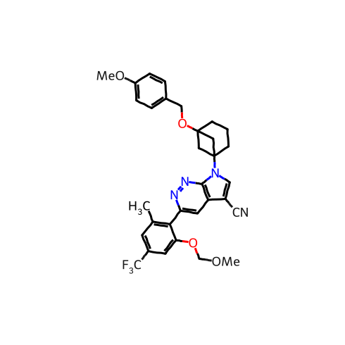 COCOc1cc(C(F)(F)F)cc(C)c1-c1cc2c(C#N)cn(C34CCCC(OCc5ccc(OC)cc5)(C3)C4)c2nn1